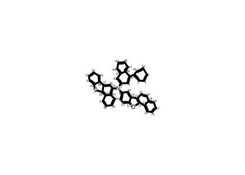 c1ccc(-c2cc(N(c3ccc4oc5c6ccccc6ccc5c4c3)c3cc4c5ccccc5sc4c4ccccc34)cc3ccccc23)cc1